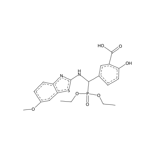 CCOP(=O)(OCC)C(Nc1nc2ccc(OC)cc2s1)c1ccc(O)c(C(=O)O)c1